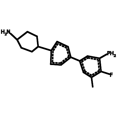 Cc1cc(-c2ccc(C3CCC(N)CC3)cc2)cc(P)c1F